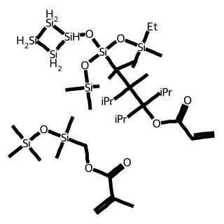 C=C(C)C(=O)OC[Si](C)(C)O[Si](C)(C)C.C=CC(=O)OC(C(C)C)(C(C)C)C(C)(C(C)C)C(C)(C)[Si](O[SiH]1[SiH2][SiH2][SiH2]1)(O[Si](C)(C)C)O[Si](C)(C)CC